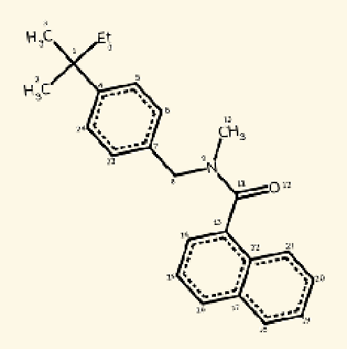 CCC(C)(C)c1ccc(CN(C)C(=O)c2cccc3ccccc23)cc1